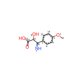 COc1ccc(C(=N)C(O)C(=O)O)cc1